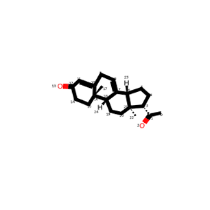 CC(=O)[C@H]1CC[C@H]2C3=CCC4=CC(=O)CC[C@@]4(C)[C@H]3CC[C@]12C